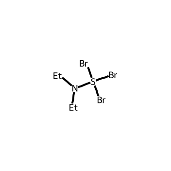 CCN(CC)S(Br)(Br)Br